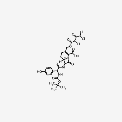 CC(C)(C)OC(=O)NC(C(=O)NC1C(=O)N2C(C(=O)O)=C(COC(=O)N(Cl)C(=O)C(Cl)Cl)CS[C@@H]12)c1ccc(O)cc1